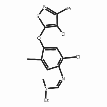 CCN(C)/C=N\c1cc(C)c(Oc2snc(C(C)C)c2Cl)cc1Cl